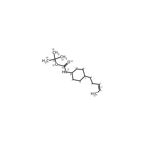 C/C=C\CCC1CCC(NC(=O)OC(C)(C)C)CC1